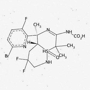 CC1(C)C(NC(=O)O)=N[C@](C)(c2nc(Br)ccc2F)[C@H]2CC(F)(F)CN[SH]21=O